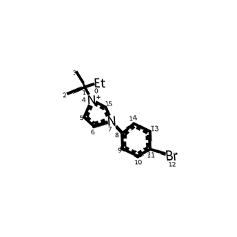 CCC(C)(C)[n+]1ccn(-c2ccc(Br)cc2)c1